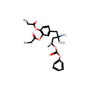 C[C@@H](CC(N)(Cc1ccc(OC(=O)CC(C)(C)C)c(OC(=O)CC(C)(C)C)c1)C(=O)O)OC(=O)Oc1ccccc1